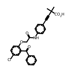 CC(C)(C#Cc1ccc(NC(=O)COc2ccc(Cl)cc2C(=O)c2ccccc2)cc1)C(=O)O